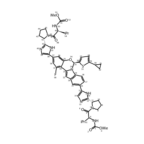 COC(=O)NC(C(=O)N1CCC[C@H]1c1ncc(-c2ccc3c(c2)cc2n3[C@H](c3ccc(C4CC4)s3)Oc3cc(-c4cnc([C@@H]5CCCN5C(=O)[C@@H](NC(=O)OC)C(C)C)[nH]4)cc(F)c3-2)[nH]1)C(C)C